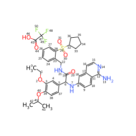 CCOc1cc(C(Nc2ccc3c(N)nccc3c2)C(=O)NCc2ccccc2S(=O)(=O)C2CCCC2)ccc1OC(C)C.O=C(O)C(F)(F)F